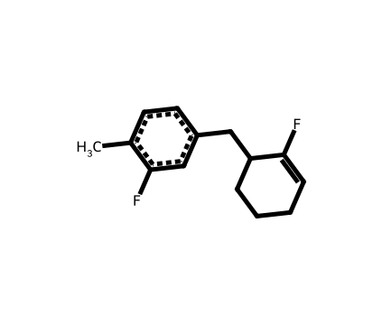 Cc1ccc(CC2CCCC=C2F)cc1F